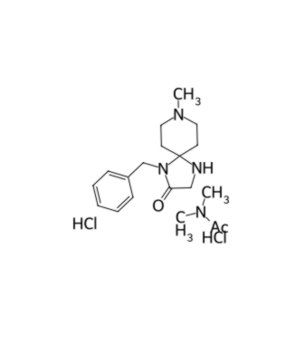 CC(=O)N(C)C.CN1CCC2(CC1)NCC(=O)N2Cc1ccccc1.Cl.Cl